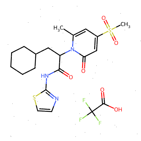 Cc1cc(S(C)(=O)=O)cc(=O)n1C(CC1CCCCC1)C(=O)Nc1nccs1.O=C(O)C(F)(F)F